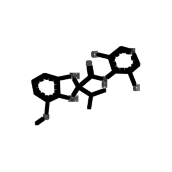 COc1cccc2c1NC(C(=O)Nc1c(Cl)cncc1Cl)(C(C)C)N2